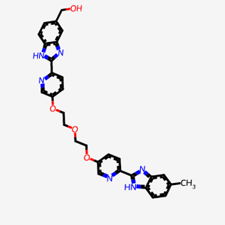 Cc1ccc2[nH]c(-c3ccc(OCCOCCOc4ccc(-c5nc6cc(CO)ccc6[nH]5)nc4)cn3)nc2c1